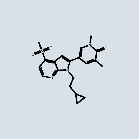 Cc1cc(-c2cc3c(S(C)(=O)=O)ccnc3n2CCC2CC2)cn(C)c1=O